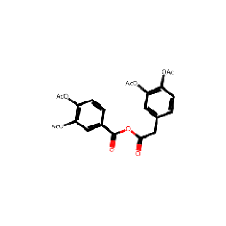 CC(=O)Oc1ccc(CC(=O)OC(=O)c2ccc(OC(C)=O)c(OC(C)=O)c2)cc1OC(C)=O